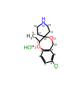 CC1Oc2ccc(Cl)cc2COC12CCNCC2.Cl